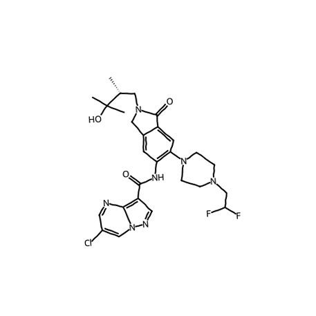 C[C@H](CN1Cc2cc(NC(=O)c3cnn4cc(Cl)cnc34)c(N3CCN(CC(F)F)CC3)cc2C1=O)C(C)(C)O